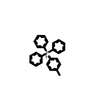 Cc1ccc([PH](c2ccccc2)(c2ccccc2)c2ccccc2)cc1